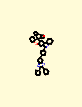 c1ccc(-c2nc3ccc(-c4ccc(-c5nc6ccccc6c6cc7c(cc56)Oc5ccccc5C75c6ccccc6-c6ccccc65)cc4)cc3nc2-c2ccccc2)cc1